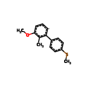 COc1cc[c]c(-c2ccc(SC)cc2)c1C